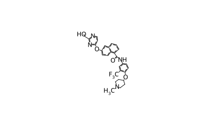 CN1CCC(Oc2ccc(NC(=O)c3cccc4cc(Oc5ccnc(CO)n5)ccc34)cc2C(F)(F)F)CC1